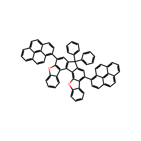 c1ccc(C2(c3ccccc3)c3cc(-c4ccc5ccc6cccc7ccc4c5c67)c4c(oc5ccccc54)c3-c3c2cc(-c2ccc4ccc5cccc6ccc2c4c56)c2oc4ccccc4c32)cc1